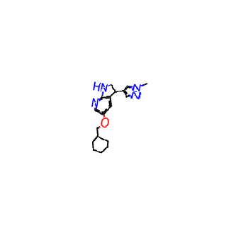 Cn1cc(C2CNc3ncc(OCC4CCCCC4)cc32)cn1